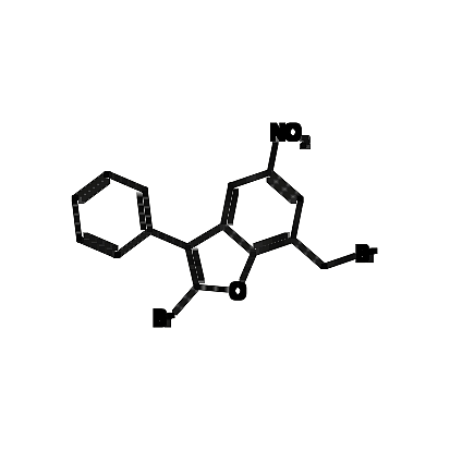 O=[N+]([O-])c1cc(CBr)c2oc(Br)c(-c3ccccc3)c2c1